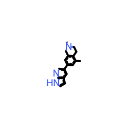 Cc1cc(-c2cnc3[nH]ccc3c2)cc2c1CCN(C)C2